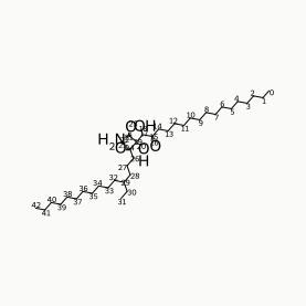 CCCCCCCCCCCCCCCC(=O)C(O)C(O)(C(N)=O)C(=O)CCCC(CC)CCCCCCCCCCC